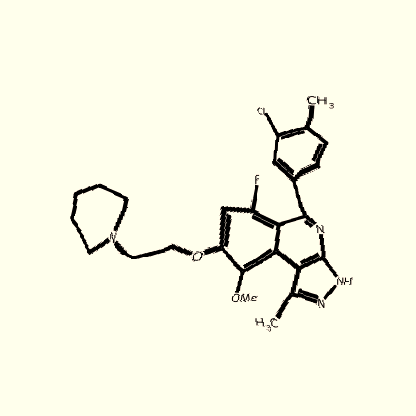 COc1c(OCCN2CCCCC2)cc(F)c2c(-c3ccc(C)c(Cl)c3)nc3[nH]nc(C)c3c12